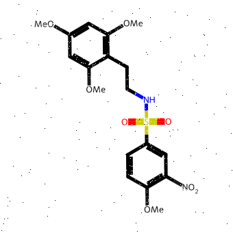 COc1cc(OC)c(CCNS(=O)(=O)c2ccc(OC)c([N+](=O)[O-])c2)c(OC)c1